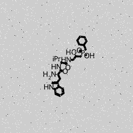 CC(C)[C@H](NC(=O)[C@@H](N)CC1=CNC2C=CC=CC12)C(=O)NC[C@@H](O)CP(=O)(O)CC1CCCCC1